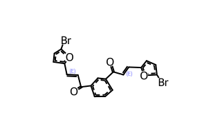 O=C(/C=C/c1ccc(Br)o1)c1cccc(C(=O)/C=C/c2ccc(Br)o2)c1